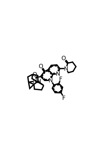 O=C(NC12CC3CC4CCC1(C2)C4C3)c1cn(-c2ccc(F)cc2F)c2nc(N3CCCCC3=O)ccc2c1=O